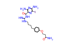 N=C(NCCCCc1ccc(OCCC(N)=O)cc1)NC(=O)c1nc(I)c(N)nc1N